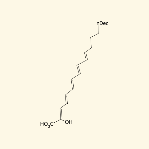 CCCCCCCCCCCCCC=CC=CC=CC=CC=C(O)C(=O)O